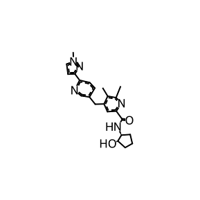 Cc1nc(C(=O)N[C@H]2CCC[C@@H]2O)cc(Cc2ccc(-c3ccn(C)n3)nc2)c1C